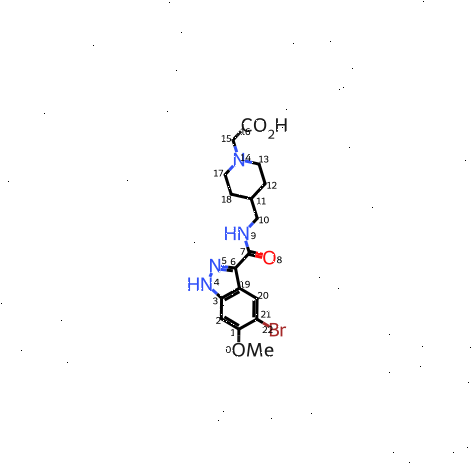 COc1cc2[nH]nc(C(=O)NCC3CCN(CC(=O)O)CC3)c2cc1Br